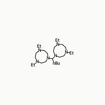 CCCCC(N1CCN(CC)CCN(CC)CC1)N1CCN(CC)CCN(CC)CC1